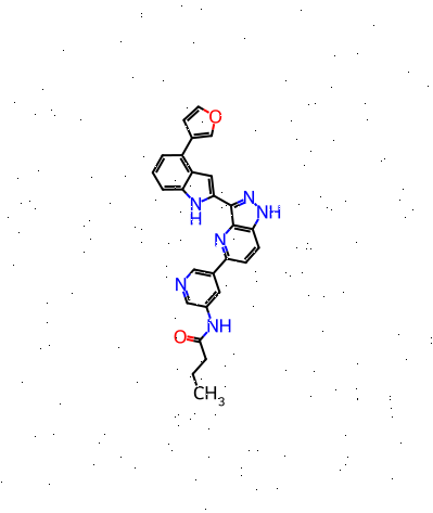 CCCC(=O)Nc1cncc(-c2ccc3[nH]nc(-c4cc5c(-c6ccoc6)cccc5[nH]4)c3n2)c1